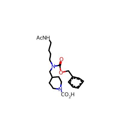 CC(=O)NCCCCN(CC1CCN(C(=O)O)CC1)C(=O)OCc1ccccc1